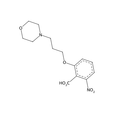 O=C(O)c1c(OCCCN2CCOCC2)cccc1[N+](=O)[O-]